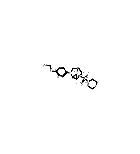 CCOc1ccc(N2CC3CN(S(=O)(=O)N4CCOCC4)CC2C(C)(C)C3)cc1